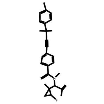 C=C(C)C(N(C)C(=C)c1ccc(C#CC(C)(C)c2ccc(C)cc2)cc1)C1(C)CC1F